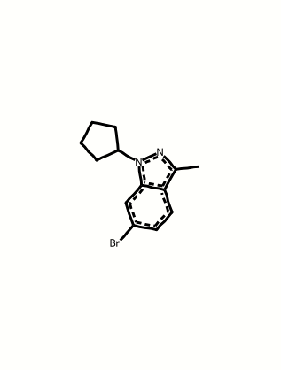 Cc1nn(C2CCCC2)c2cc(Br)ccc12